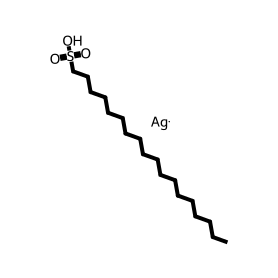 CCCCCCCCCCCCCCCCCCS(=O)(=O)O.[Ag]